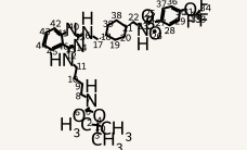 CC(C)(C)OC(=O)NCCCCNc1nc(NC[C@H]2CC[C@H](CNS(=O)(=O)c3ccc(OC(F)(F)F)cc3)CC2)nc2ccccc12